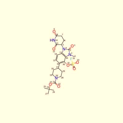 Cn1c(=O)n(C2CCC(=O)NC2=O)c2ccc(C3CCN(C(=O)OC(C)(C)C)CC3)c(OS(=O)(=O)F)c21